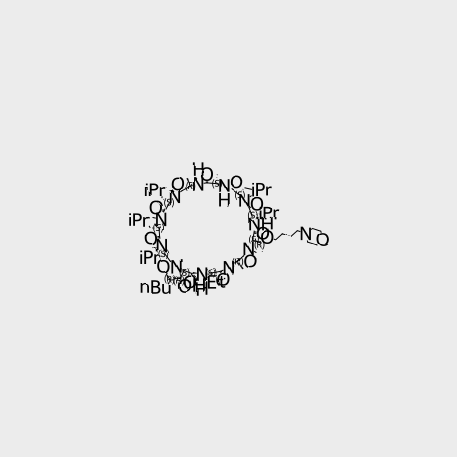 CCCC[C@@H](C)[C@@H](O)[C@H]1C(=O)N[C@@H](CC)C(=O)N(C)[C@H](C)C(=O)N(C)[C@@H]([C@@H](C)OCCCCN2CCOCC2)C(=O)N[C@@H](C(C)C)C(=O)N(C)[C@@H](CC(C)C)C(=O)N[C@@H](C)C(=O)N[C@H](C)C(=O)N(C)[C@@H](CC(C)C)C(=O)N(C)[C@@H](CC(C)C)C(=O)N(C)[C@@H](C(C)C)C(=O)N1C